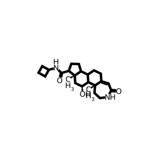 C[C@]12C[C@H](O)C3C(CCC4=CC(=O)NCC[C@@]43C)C1CCC2C(=O)NC1CCC1